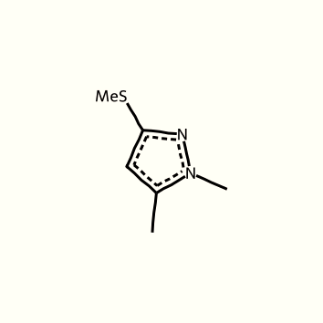 CSc1cc(C)n(C)n1